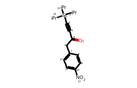 CC(C)[Si](C#CC(=O)Cc1ccc([N+](=O)[O-])cc1)(C(C)C)C(C)C